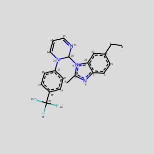 CCc1ccc2nc(C)n(C3N=CC=CN3c3ccc(C(F)(F)F)cc3)c2c1